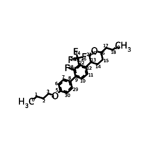 CCCCOc1ccc(-c2ccc(C3CCC(CCC)OC3)c(C(F)(F)F)c2F)cc1